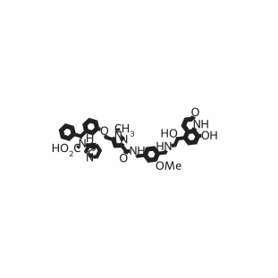 COc1cc(CNC(=O)c2cc(COc3cccc([C@H](c4ccccc4)N(C(=O)O)[C@H]4CN5CCC4CC5)c3)n(C)n2)ccc1CNC[C@H](O)c1ccc(O)c2[nH]c(=O)ccc12